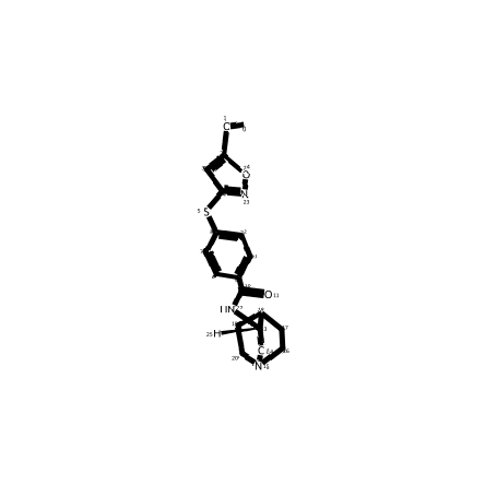 COc1cc(Sc2ccc(C(=O)N[C@H]3CN4CCC3CC4)cc2)no1